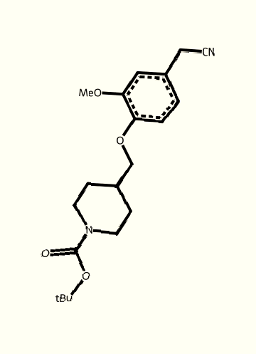 COc1cc(CC#N)ccc1OCC1CCN(C(=O)OC(C)(C)C)CC1